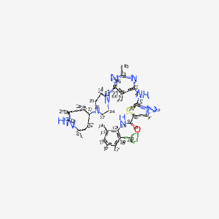 Cc1nc(Nc2ncc(C(=O)Nc3c(C)cccc3Cl)s2)cc(N2CCN(C3CCNCC3)CC2)n1